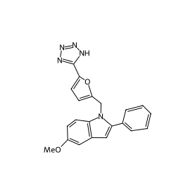 COc1ccc2c(c1)cc(-c1ccccc1)n2Cc1ccc(-c2nnn[nH]2)o1